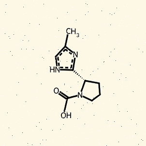 Cc1c[nH]c([C@@H]2CCCN2C(=O)O)n1